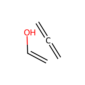 C=C=C.C=CO